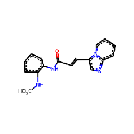 O=C(O)Nc1ccccc1NC(=O)C=Cc1cnc2ccccn12